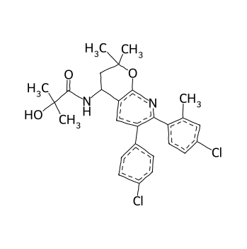 Cc1cc(Cl)ccc1-c1nc2c(cc1-c1ccc(Cl)cc1)C(NC(=O)C(C)(C)O)CC(C)(C)O2